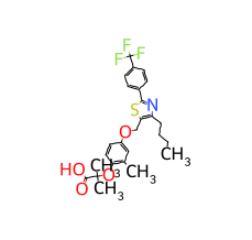 CCCCc1nc(-c2ccc(C(F)(F)F)cc2)sc1COc1ccc(OC(C)(C)C(=O)O)c(C)c1